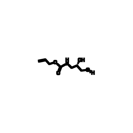 [2H]OC[C@@H](O)CNC(=O)OCC=C